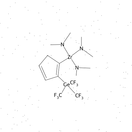 C[N](C)[Zr]([C]1=[C]([Ge]([C](F)(F)F)([C](F)(F)F)[C](F)(F)F)C=CC1)([N](C)C)[N](C)C